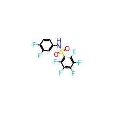 O=S(=O)(Nc1ccc(F)c(F)c1)c1c(F)c(F)c(F)c(F)c1F